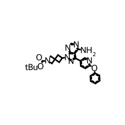 CC(C)(C)OC(=O)N1CC2(CC(n3nc(-c4ccc(Oc5ccccc5)nc4)c4c(N)ncnc43)C2)C1